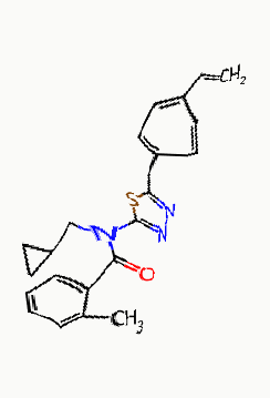 C=Cc1ccc(-c2nnc(N(CC3CC3)C(=O)c3ccccc3C)s2)cc1